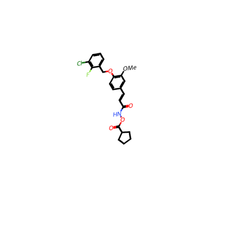 COc1cc(C=CC(=O)NOC(=O)C2CCCC2)ccc1OCc1cccc(Cl)c1F